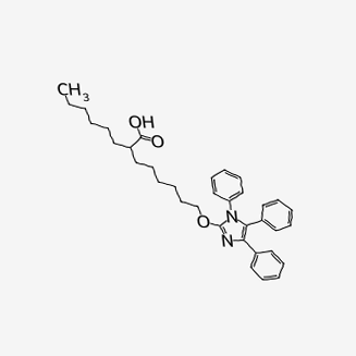 CCCCCCC(CCCCCCOc1nc(-c2ccccc2)c(-c2ccccc2)n1-c1ccccc1)C(=O)O